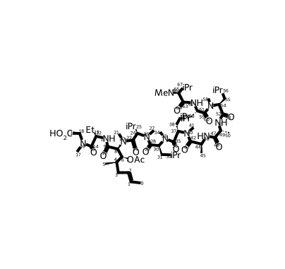 C/C=C/C[C@@H](C)[C@@H](OC(C)=O)[C@@H](C(=O)N[C@@H](CC)C(=O)N(C)CC(=O)O)N(C)C(=O)[C@H](C(C)C)N(C)C(=O)[C@H](CC(C)C)N(C)C(=O)[C@H](CC(C)C)N(C)C(=O)[C@H](C)NC(=O)[C@@H](C)NC(=O)[C@H](CC(C)C)N(C)C(=O)[C@@H](NC(=O)[C@@H](NC)C(C)C)C(C)C